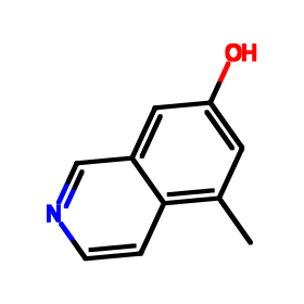 Cc1cc(O)cc2cnccc12